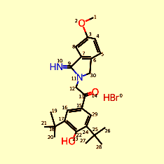 Br.COc1ccc2c(c1)C(=N)N(CC(=O)c1cc(C(C)(C)C)c(O)c(C(C)(C)C)c1)C2